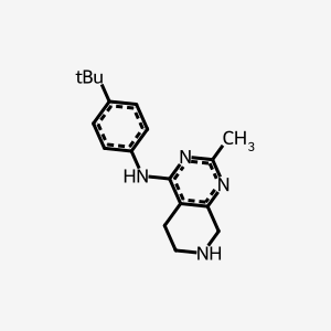 Cc1nc2c(c(Nc3ccc(C(C)(C)C)cc3)n1)CCNC2